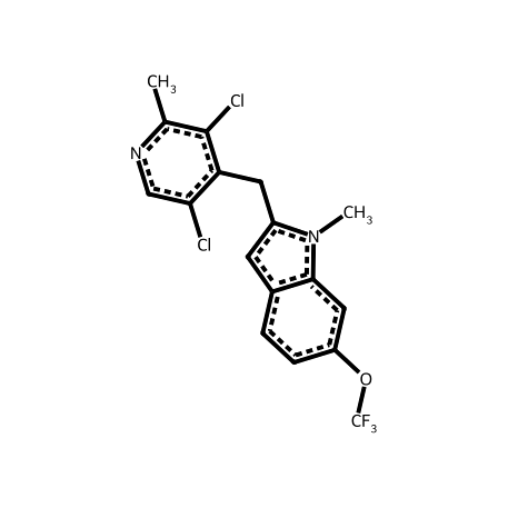 Cc1ncc(Cl)c(Cc2cc3ccc(OC(F)(F)F)cc3n2C)c1Cl